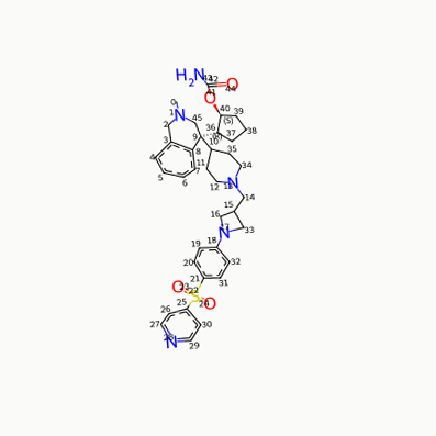 CN1Cc2ccccc2C(C2CCN(CC3CN(c4ccc(S(=O)(=O)c5ccncc5)cc4)C3)CC2)([C@H]2CCC[C@@H]2OC(N)=O)C1